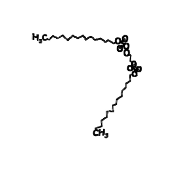 CCCCCCCCCCCCCCCCOS(=O)(=O)OCCOOS(=O)(=O)OCCCCCCCCCCCCCCCC